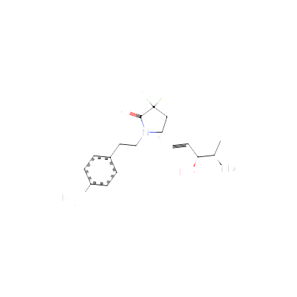 CCCC[C@H](C)[C@@H](O)C=C[C@H]1CC(F)(F)C(=O)N1CCc1ccc(C(=O)O)cc1